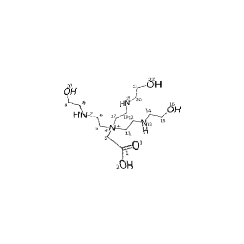 O=C(O)C[N+](CCNCCO)(CCNCCO)CCNCCO